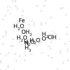 Cl.N.O.O.O.O.O.O.[Fe]